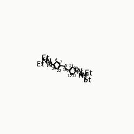 CCN(CC)N=Nc1ccc(CCc2ccc(N=NN(CC)CC)cc2)cc1